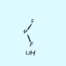 F[P]F.[LiH]